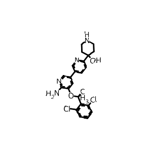 CC(Oc1cc(-c2ccc(C3(O)CCNCC3)nc2)cnc1N)c1c(Cl)cccc1Cl